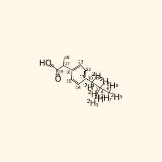 [2H]C([2H])([2H])C([2H])(C([2H])([2H])[2H])C([2H])([2H])c1ccc(C(C)C(=O)O)cc1